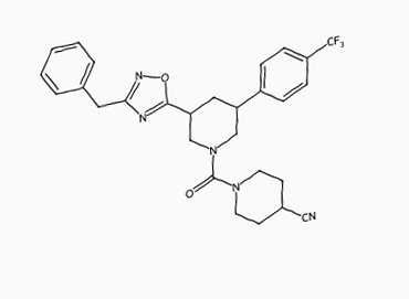 N#CC1CCN(C(=O)N2CC(c3ccc(C(F)(F)F)cc3)CC(c3nc(Cc4ccccc4)no3)C2)CC1